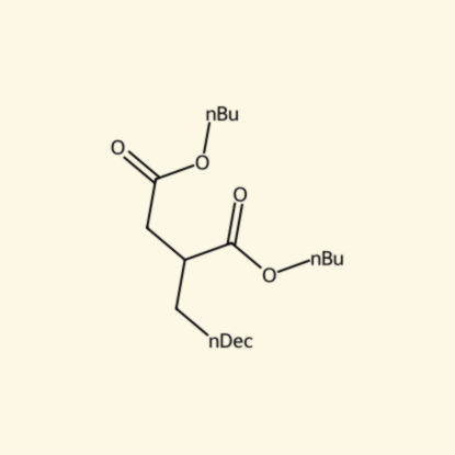 CCCCCCCCCCCC(CC(=O)OCCCC)C(=O)OCCCC